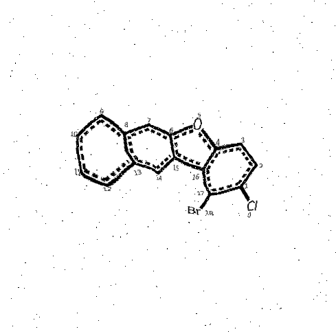 Clc1ccc2oc3cc4ccccc4cc3c2c1Br